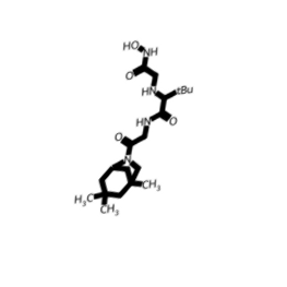 CC1(C)CC2CC(C)(CN2C(=O)CNC(=O)C(NCC(=O)NO)C(C)(C)C)C1